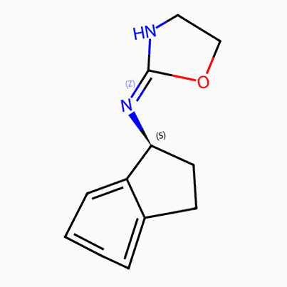 c1ccc2c(c1)CC[C@@H]2/N=C1/NCCO1